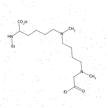 CCNC(CCCCN(C)CCCCN(C)CC(=O)CC)C(=O)O